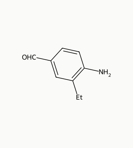 CCc1cc(C=O)ccc1N